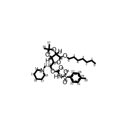 CCCCCCCO[C@H]1O[C@H]([C@@H](CN2CCCCC2)OC(=O)NS(=O)(=O)c2ccc(C)cc2)[C@@H]2OC(C)(C)O[C@H]12